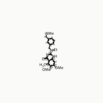 CCN(Cc1cccc(CNC)c1)c1nc(=O)c2c(C)c(OC)c(OC)cc2[nH]1